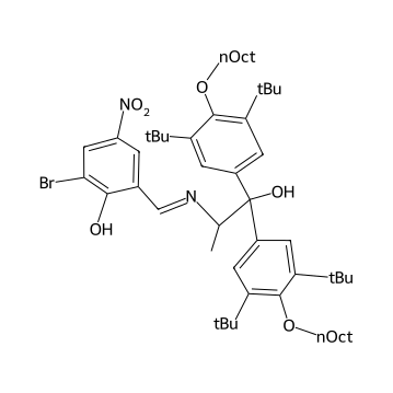 CCCCCCCCOc1c(C(C)(C)C)cc(C(O)(c2cc(C(C)(C)C)c(OCCCCCCCC)c(C(C)(C)C)c2)C(C)N=Cc2cc([N+](=O)[O-])cc(Br)c2O)cc1C(C)(C)C